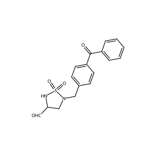 O=CC1CN(Cc2ccc(C(=O)c3ccccc3)cc2)S(=O)(=O)N1